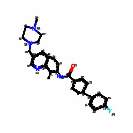 Cc1c(NC(=O)c2ccc(-c3ccc(F)cc3)cc2)ccc2cc(CN3CCN(C)CC3)cnc12